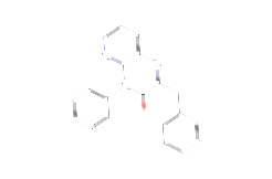 O=c1c(Cc2ccccc2)nc2cccnc2n1-c1ccccc1